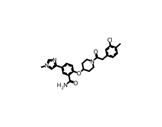 Cc1ccc(CC(=O)N2CCC(Oc3ccc(-c4cn(C)cn4)cc3C(N)=O)CC2)cc1Cl